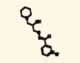 [O-][n+]1cccc(/C(Cl)=N/OCC(O)CN2CCCCC2)c1